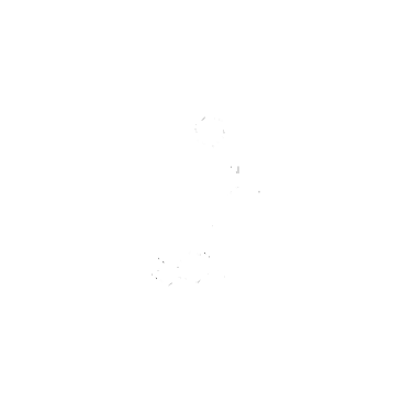 CCn1ncc2cc(Cl)nc(CC(O)COCC(NC(=O)O)c3ccccc3)c21